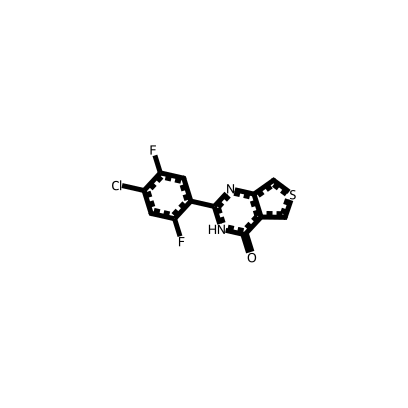 O=c1[nH]c(-c2cc(F)c(Cl)cc2F)nc2cscc12